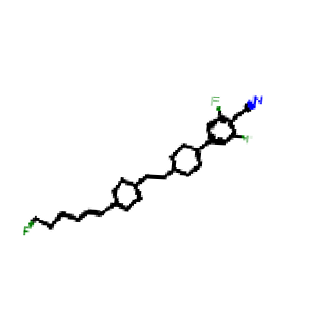 N#Cc1c(F)cc(C2CCC(CCC3CCC(C=CCCCCF)CC3)CC2)cc1F